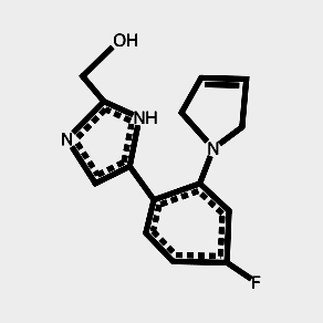 OCc1ncc(-c2ccc(F)cc2N2CC=CC2)[nH]1